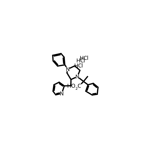 CC(C(=O)O)(c1ccccc1)N1CCN(c2ccccc2)CC1Cc1ccccn1.Cl.Cl.Cl